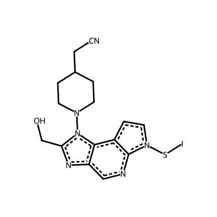 N#CCC1CCN(n2c(CO)nc3cnc4c(ccn4SI)c32)CC1